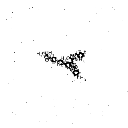 Cc1ccc(S(=O)(=O)n2cc(-c3c(C)nn(Cc4cccc(F)c4)c3C)c3cc(-c4ccc(N5CCN(C(=O)OC(C)(C)C)CC5)nc4)cnc32)cc1